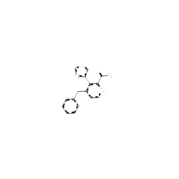 NC(=O)c1nccc(Cc2ccccc2)c1-c1cocn1